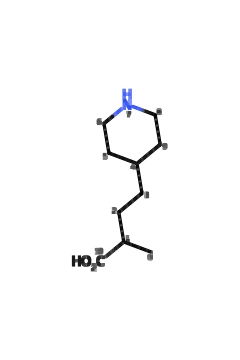 CC(CCC1CCNCC1)C(=O)O